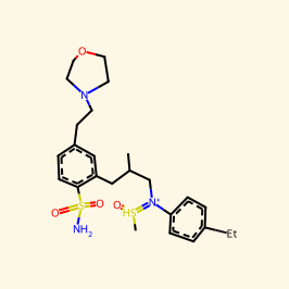 CCc1ccc(/[N+](CC(C)Cc2cc(CCN3CCOCC3)ccc2S(N)(=O)=O)=[SH](\C)=O)cc1